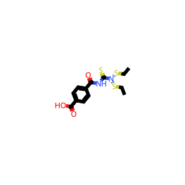 CCSN(SCC)C(=S)NC(=O)c1ccc(C(=O)O)cc1